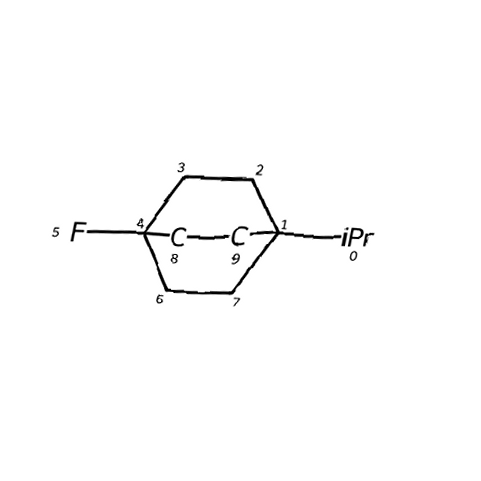 CC(C)C12CCC(F)(CC1)CC2